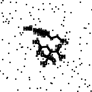 NCCN.O=C(O)CC(C(=O)O)S(=O)(=O)O.[NaH].[NaH].[NaH].[NaH]